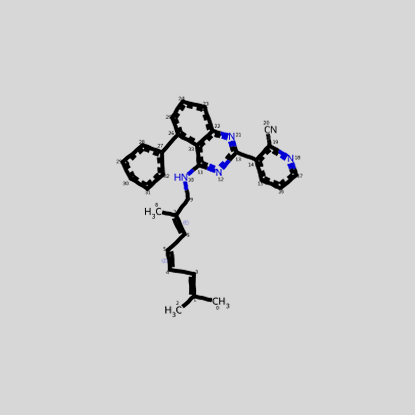 CC(C)=C/C=C\C=C(/C)CNc1nc(-c2cccnc2C#N)nc2cccc(-c3ccccc3)c12